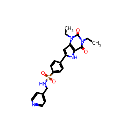 CCn1c(=O)c2[nH]c(-c3ccc(S(=O)(=O)NCc4ccncc4)cc3)cc2n(CC)c1=O